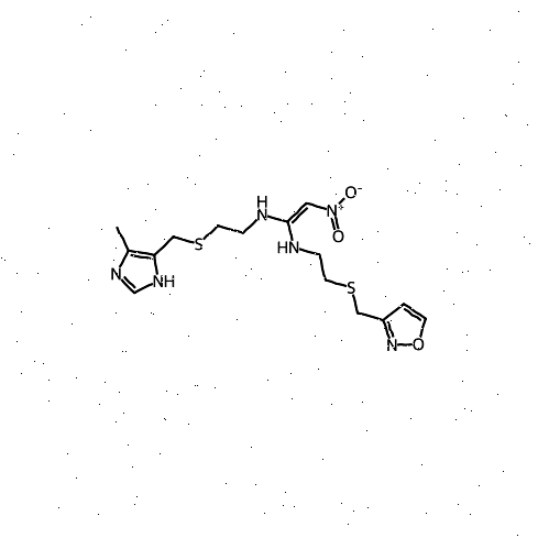 Cc1nc[nH]c1CSCCNC(=C[N+](=O)[O-])NCCSCc1ccon1